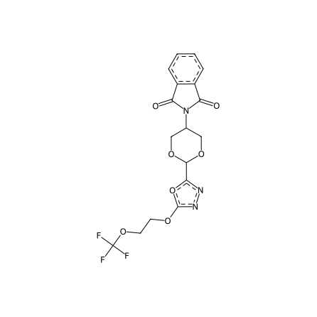 O=C1c2ccccc2C(=O)N1C1COC(c2nnc(OCCOC(F)(F)F)o2)OC1